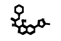 C=C(CN1CCCCC1)Nc1ncc2ccc(C3=CN=C(C)C3)cc2c1O